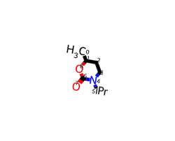 CC1CCN(C(C)C)C(=O)O1